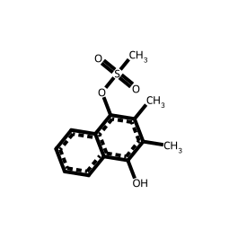 Cc1c(C)c(OS(C)(=O)=O)c2ccccc2c1O